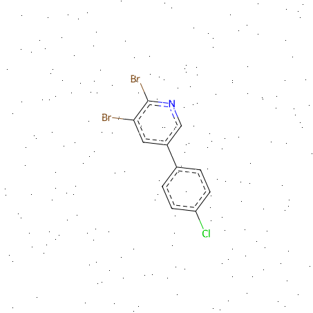 Clc1ccc(-c2cnc(Br)c(Br)c2)cc1